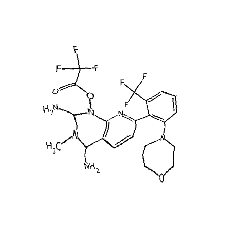 CN1C(N)c2ccc(-c3c(N4CCOCC4)cccc3C(F)(F)F)nc2N(OC(=O)C(F)(F)F)C1N